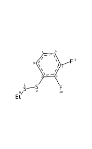 CCSSc1cccc(F)c1F